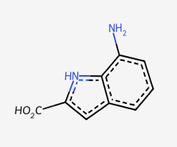 Nc1cccc2cc(C(=O)O)[nH]c12